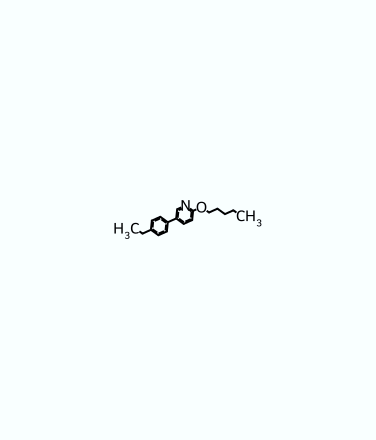 CCCCCOc1ccc(-c2ccc(CC)cc2)cn1